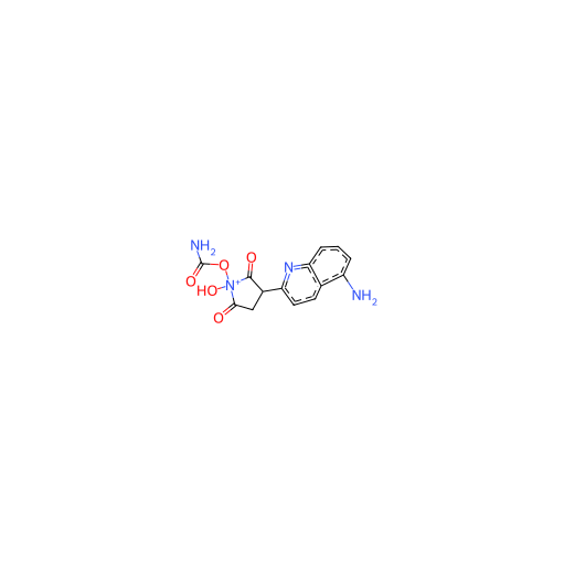 NC(=O)O[N+]1(O)C(=O)CC(c2ccc3c(N)cccc3n2)C1=O